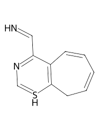 N=CC1=NC=[SH]C2=C1C=CC=CC2